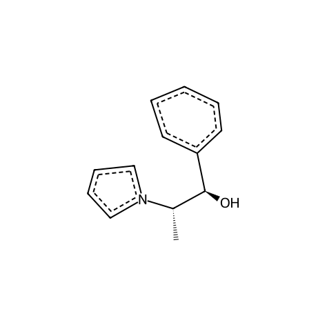 C[C@@H]([C@H](O)c1ccccc1)n1cccc1